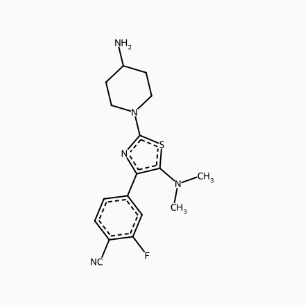 CN(C)c1sc(N2CCC(N)CC2)nc1-c1ccc(C#N)c(F)c1